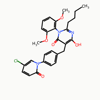 CCCCc1nc(O)c(Cc2ccc(-n3cc(Cl)ccc3=O)cc2)c(=O)n1-c1c(OC)cccc1OC